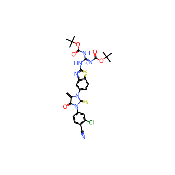 C=C1C(=O)N(c2ccc(C#N)c(Cl)c2)C(=S)N1c1ccc2sc(N/C(=N/C(=O)OC(C)(C)C)NC(=O)OC(C)(C)C)nc2c1